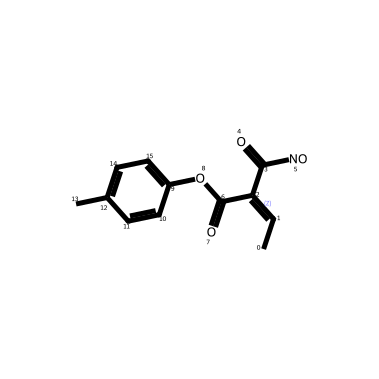 C/C=C(/C(=O)N=O)C(=O)Oc1ccc(C)cc1